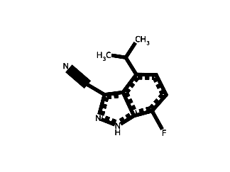 CC(C)c1ccc(F)c2[nH]nc(C#N)c12